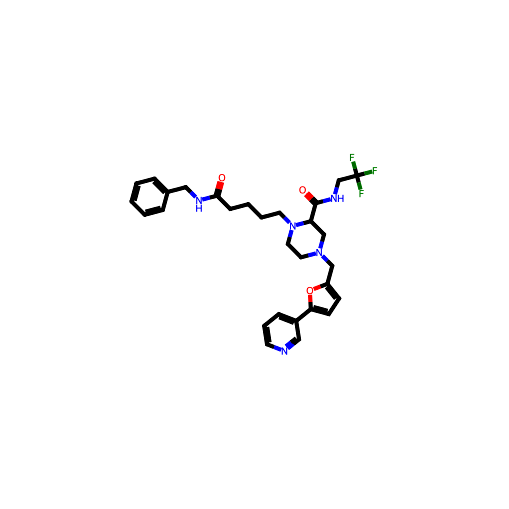 O=C(CCCCN1CCN(Cc2ccc(-c3cccnc3)o2)CC1C(=O)NCC(F)(F)F)NCc1ccccc1